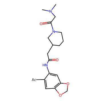 CC(=O)c1cc2c(cc1NC(=O)CC1CCCN(C(=O)CN(C)C)C1)OCO2